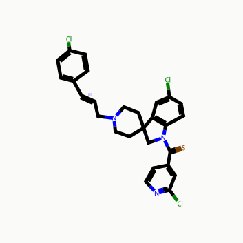 S=C(c1ccnc(Cl)c1)N1CC2(CCN(C/C=C/c3ccc(Cl)cc3)CC2)c2cc(Cl)ccc21